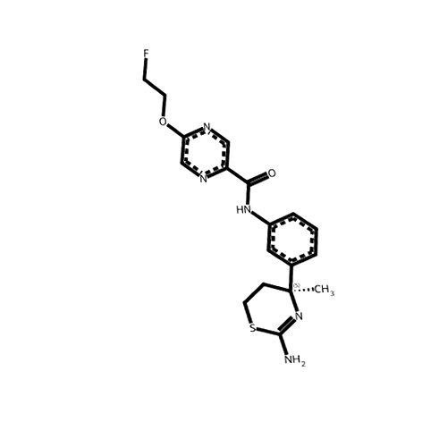 C[C@@]1(c2cccc(NC(=O)c3cnc(OCCF)cn3)c2)CCSC(N)=N1